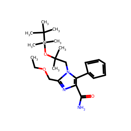 CCOCc1nc(C(N)=O)c(-c2ccccc2)n1CC(C)(C)O[Si](C)(C)C(C)(C)C